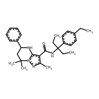 CCc1ccc(C(CC)(CC)NC(=O)c2c(C)nn3c2NC(c2ccccc2)CC3(C)C)cc1